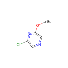 CCCCOc1cncc(Cl)n1